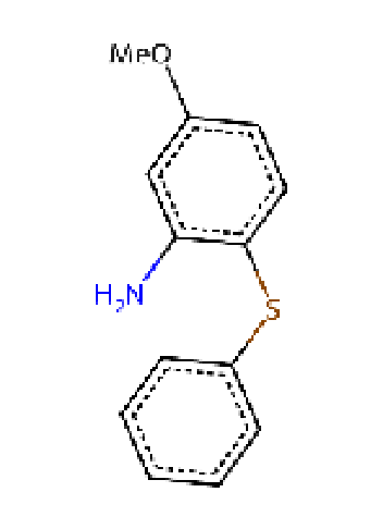 COc1ccc(Sc2ccccc2)c(N)c1